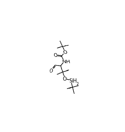 CC(C)(C)OC(=O)NC(C=O)C(C)(C)O[SiH2]C(C)(C)C